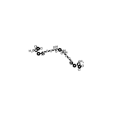 CN1Cc2c(Cl)cc(Cl)cc2[C@H](c2cccc(-c3cn(CCOCCOCCNC(=O)Nc4ccc(NC(=O)NCCOCCOCCn5cc(-c6cccc([C@@H]7CN(C)Cc8c(Cl)cc(Cl)cc87)c6)nn5)cc4)nn3)c2)C1